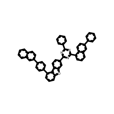 c1ccc(-c2ccc3c(-c4nc(-c5ccccc5)nc(-c5ccc6c(c5)oc5cccc(-c7ccc(-c8ccc9ccccc9c8)cc7)c56)n4)cccc3c2)cc1